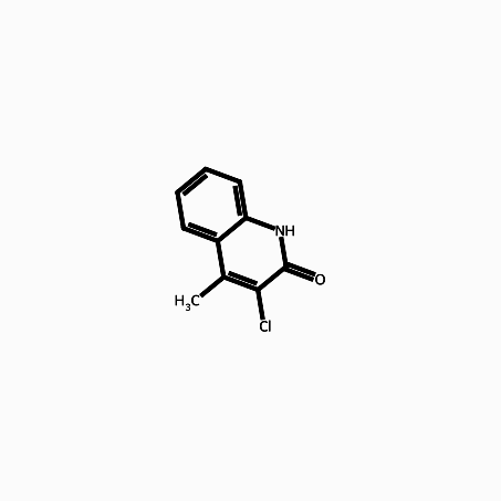 Cc1c(Cl)c(=O)[nH]c2ccccc12